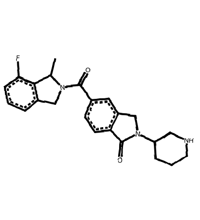 CC1c2c(F)cccc2CN1C(=O)c1ccc2c(c1)CN(C1CCCNC1)C2=O